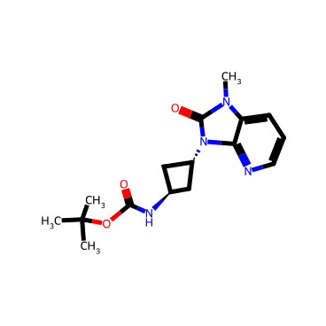 Cn1c(=O)n([C@H]2C[C@H](NC(=O)OC(C)(C)C)C2)c2ncccc21